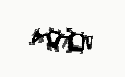 Fc1cc(Cl)ccc1-c1ccc(C2CC2)cc1